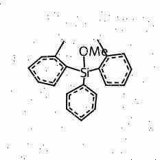 CO[Si](c1ccccc1)(c1ccccc1C)c1ccccc1C